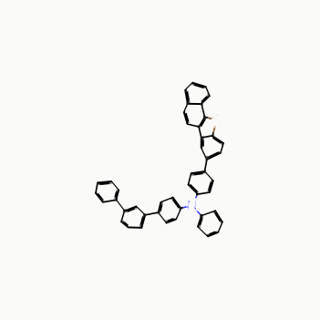 c1ccc(-c2cccc(-c3ccc(N(c4ccccc4)c4ccc(-c5ccc6sc7c8ccccc8ccc7c6c5)cc4)cc3)c2)cc1